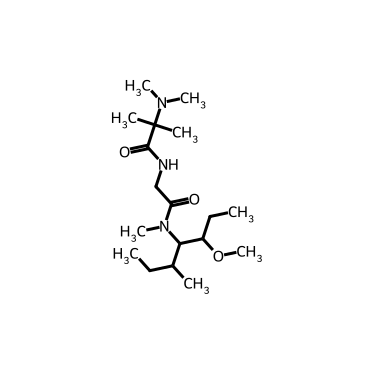 CCC(C)C(C(CC)OC)N(C)C(=O)CNC(=O)C(C)(C)N(C)C